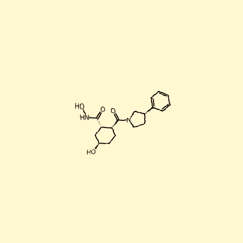 O=C(NO)[C@H]1C[C@H](O)CC[C@@H]1C(=O)N1CC[C@H](c2ccccc2)C1